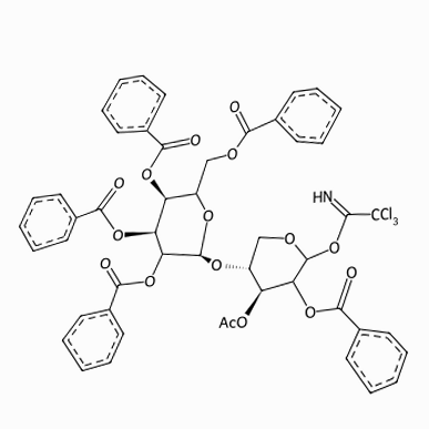 CC(=O)O[C@@H]1C(OC(=O)c2ccccc2)C(OC(=N)C(Cl)(Cl)Cl)OC[C@H]1O[C@@H]1OC(COC(=O)c2ccccc2)[C@H](OC(=O)c2ccccc2)[C@H](OC(=O)c2ccccc2)C1OC(=O)c1ccccc1